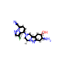 C[C@@H]1CN(c2ccc(C#N)n3ncc(F)c23)Cc2c3c(nn21)CC(N)C(O)C3